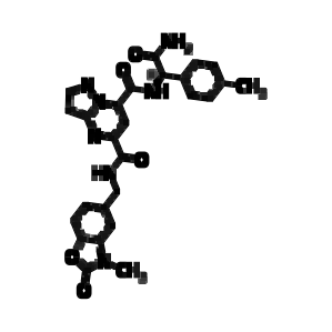 Cc1ccc([C@@H](NC(=O)c2cc(C(=O)NCc3ccc4oc(=O)n(C)c4c3)nc3ccnn23)C(N)=O)cc1